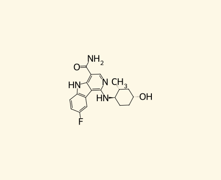 C[C@@H]1C[C@H](O)CC[C@H]1Nc1ncc(C(N)=O)c2[nH]c3ccc(F)cc3c12